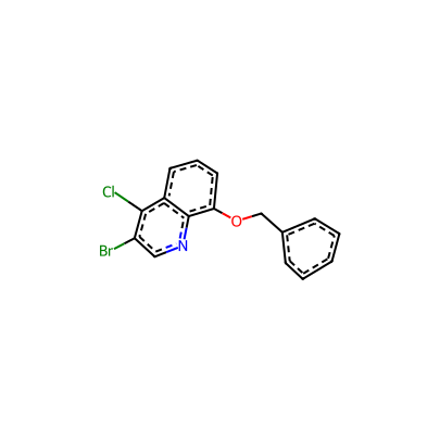 Clc1c(Br)cnc2c(OCc3ccccc3)cccc12